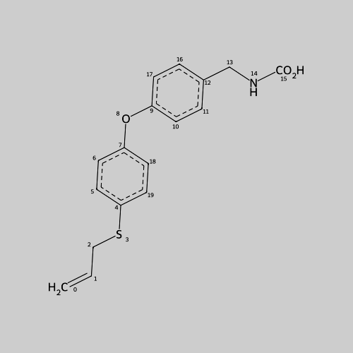 C=CCSc1ccc(Oc2ccc(CNC(=O)O)cc2)cc1